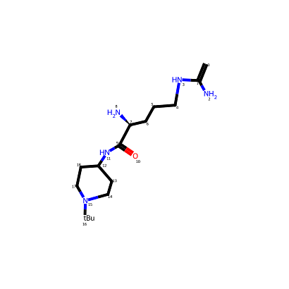 C=C(N)NCCC[C@H](N)C(=O)NC1CCN(C(C)(C)C)CC1